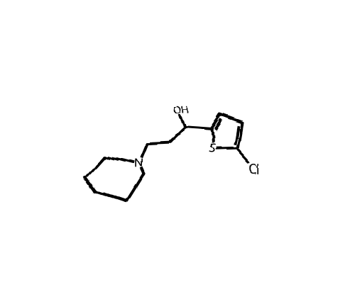 OC(CCN1CCCCC1)c1ccc(Cl)s1